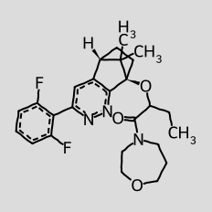 CCC(O[C@@]12CC[C@@H](c3cc(-c4c(F)cccc4F)nnc31)C2(C)C)C(=O)N1CCCOCC1